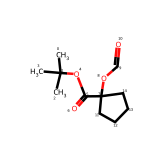 CC(C)(C)OC(=O)C1(O[C]=O)CCCC1